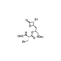 CCCCCCCCCCCC(C[C@H]1OC(=O)[C@@H]1CC)OC(=O)[C@H](CC(C)C)NC=O